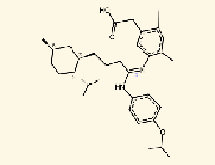 Cc1cc(C)c(/N=C(\CCC[C@@H]2C[C@H](C)CC[C@H]2C(C)C)Nc2ccc(OC(C)C)cc2)cc1CC(=O)O